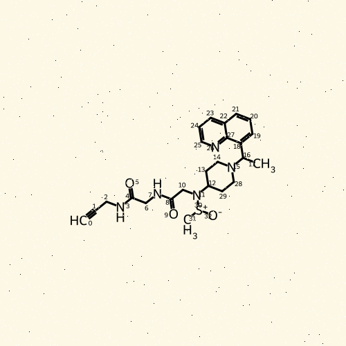 C#CCNC(=O)CNC(=O)CN(C1CCN(C(C)c2cccc3cccnc23)CC1)[S+](C)[O-]